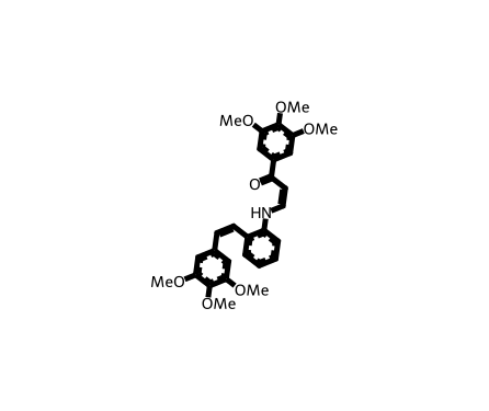 COc1cc(/C=C\c2ccccc2N/C=C\C(=O)c2cc(OC)c(OC)c(OC)c2)cc(OC)c1OC